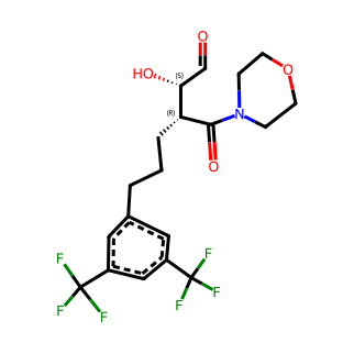 O=C[C@@H](O)[C@@H](CCCc1cc(C(F)(F)F)cc(C(F)(F)F)c1)C(=O)N1CCOCC1